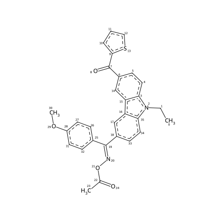 CCn1c2ccc(C(=O)c3cccs3)cc2c2cc(/C(=N/OC(C)=O)c3ccc(OC)cc3)ccc21